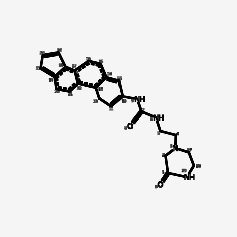 O=C1CN(CCNC(=O)NC2=CCc3c(ccc4c5c(ccc34)=CC=C5)=C2)CCN1